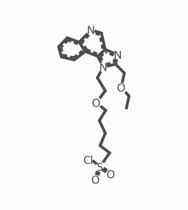 CCOCc1nc2cnc3ccccc3c2n1CCOCCCCCS(=O)(=O)Cl